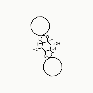 O[C@@H]1[C@H]2OC3(CCCCCCCCCCC3)O[C@H]2[C@@H](O)[C@@H]2OC3(CCCCCCCCCCC3)O[C@@H]12